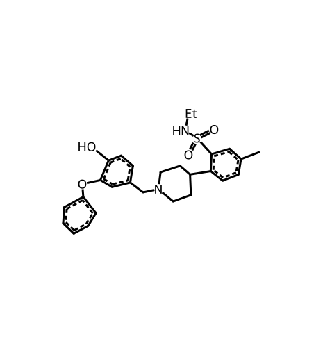 CCNS(=O)(=O)c1cc(C)ccc1C1CCN(Cc2ccc(O)c(Oc3ccccc3)c2)CC1